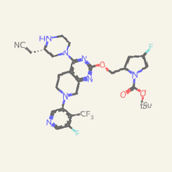 CC(C)(C)OC(=O)N1CC(F)CC1COc1nc2c(c(N3CCN[C@@H](CC#N)C3)n1)CCN(c1cncc(F)c1C(F)(F)F)C2